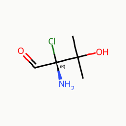 CC(C)(O)[C@@](N)(Cl)C=O